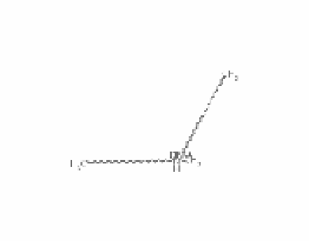 CCCCCCCCCCCCCCCCCCCCCCCCCC(=O)NC(CC)NC(=O)CCCCCCCCCCCCCCCCCCCCCCCCC